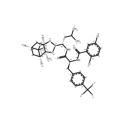 CC(C)C[C@H](NC(=O)[C@H](Cc1ccc(C(F)(F)F)cc1)NC(=O)c1cc(Cl)ccc1Cl)B1O[C@@H]2C[C@@H]3C[C@@H](C3(C)C)[C@]2(C)O1